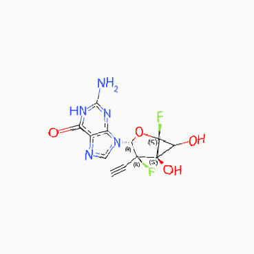 C#C[C@]1(F)[C@H](n2cnc3c(=O)[nH]c(N)nc32)O[C@]2(F)C(O)[C@@]21O